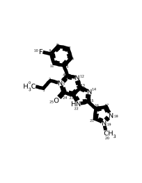 CCCn1c(-c2cccc(F)c2)nc2nc(-c3cnn(C)c3)[nH]c2c1=O